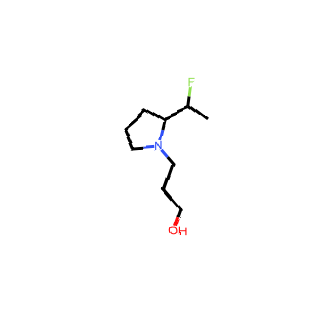 CC(F)C1CCCN1CCCO